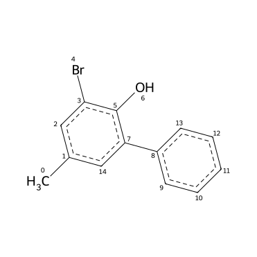 Cc1cc(Br)c(O)c(-c2ccccc2)c1